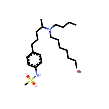 Br.CCCCCCCN(CCCC)C(C)CCCc1ccc(NS(C)(=O)=O)cc1